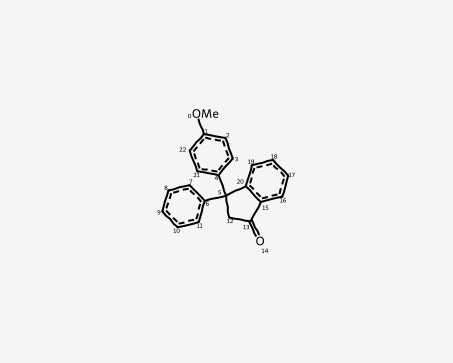 COc1ccc(C2(c3ccccc3)CC(=O)c3ccccc32)cc1